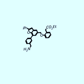 CCOC(=O)Cc1ccccc1OCc1cc(-c2cccc(CN)c2)c2oc(C(C)C)cc2c1